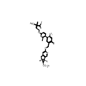 Cc1nc(OCCC(C)(O)C(F)F)ccc1-c1cc(COc2cc3c(cn2)[C@H]2[C@@H](C3)[C@@H]2C(=O)O)c(F)cc1C(F)(F)F